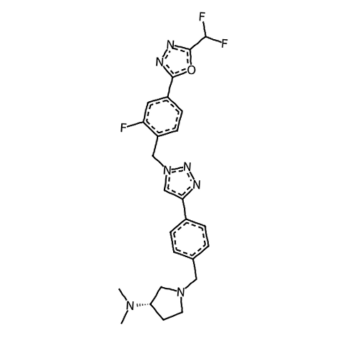 CN(C)[C@H]1CCN(Cc2ccc(-c3cn(Cc4ccc(-c5nnc(C(F)F)o5)cc4F)nn3)cc2)C1